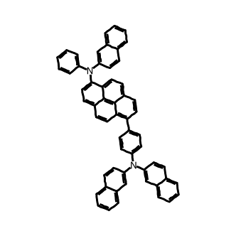 c1ccc(N(c2ccc3ccccc3c2)c2ccc3ccc4c(-c5ccc(N(c6ccc7ccccc7c6)c6ccc7ccccc7c6)cc5)ccc5ccc2c3c54)cc1